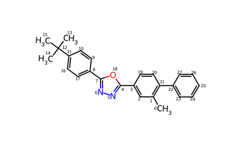 Cc1cc(-c2nnc(-c3ccc(C(C)(C)C)cc3)o2)ccc1-c1ccccc1